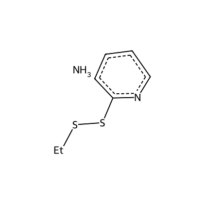 CCSSc1ccccn1.N